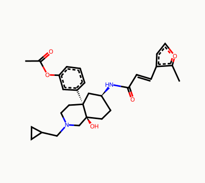 CC(=O)Oc1cccc([C@@]23CCN(CC4CC4)C[C@@]2(O)CC[C@H](NC(=O)C=Cc2ccoc2C)C3)c1